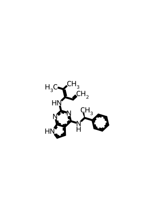 C=CC(Nc1nc(N[C@@H](C)c2ccccc2)c2cc[nH]c2n1)=C(C)C